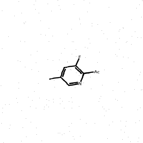 CC(=O)c1ncc(C)cc1F